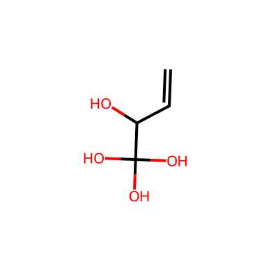 C=CC(O)C(O)(O)O